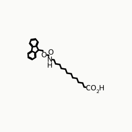 O=C(O)CCCCCCCCCCCCNC(=O)OCC1c2ccccc2-c2ccccc21